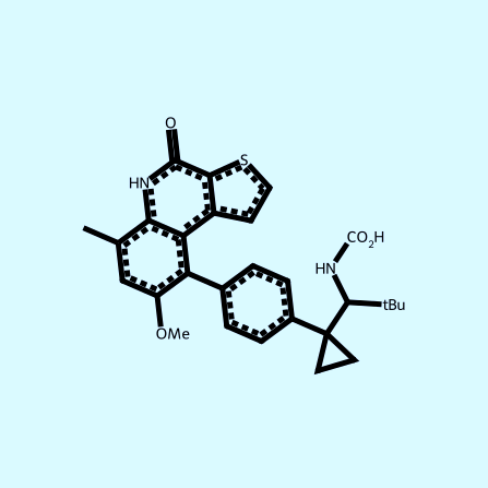 COc1cc(C)c2[nH]c(=O)c3sccc3c2c1-c1ccc(C2(C(NC(=O)O)C(C)(C)C)CC2)cc1